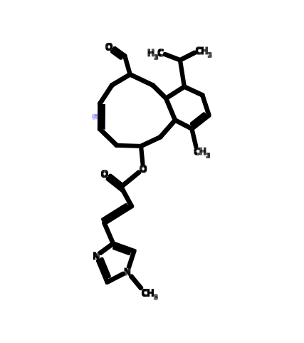 CC1=CCC(C(C)C)C2CC(C=O)C/C=C\CC(OC(=O)C=Cc3cn(C)cn3)CC12